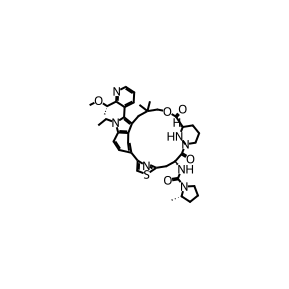 CCn1c(-c2cccnc2[C@H](C)OC)c2c3cc(ccc31)-c1csc(n1)C[C@H](NC(=O)N1CCC[C@@H]1C)C(=O)N1CCC[C@H](N1)C(=O)OCC(C)(C)C2